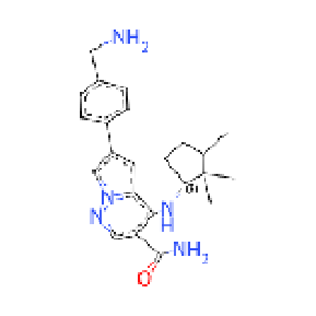 CC1CC[C@@H](Nc2c(C(N)=O)cnn3cc(-c4ccc(CN)cc4)cc23)C1(C)C